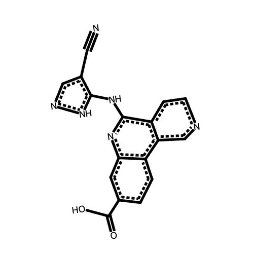 N#Cc1cn[nH]c1Nc1nc2cc(C(=O)O)ccc2c2cnccc12